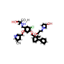 CC(CO)(NCc1cc(Cl)c(OCC2(OCCCN3CC[C@@H](O)C3)C=CC=C(c3ccccc3)C2(C)C)cc1OCc1cncc(C#N)c1)C(=O)O